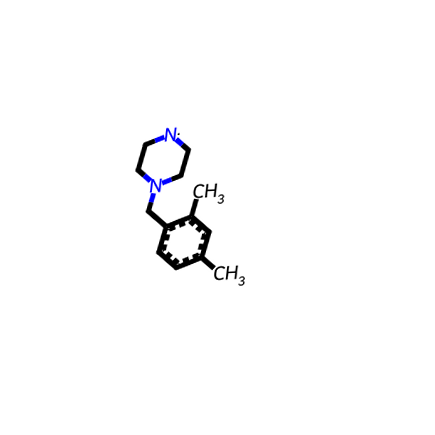 Cc1ccc(CN2CC[N]CC2)c(C)c1